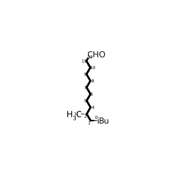 CC[C@H](C)C[C@H](C)CCCCCCCCC=O